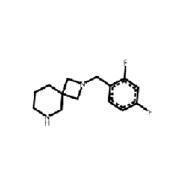 Fc1ccc(CN2CC3(CCCNC3)C2)c(F)c1